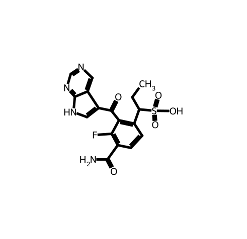 CCC(c1ccc(C(N)=O)c(F)c1C(=O)c1c[nH]c2ncncc12)S(=O)(=O)O